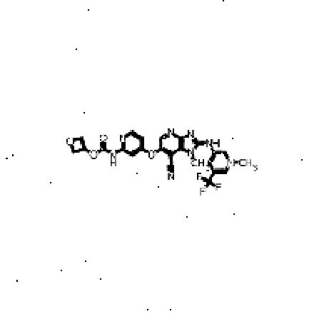 CN1C=C(C(F)(F)F)C=C(Nc2nc3ncc(Oc4ccnc(NC(=O)OC5COC5)c4)c(C#N)c3n2C)C1